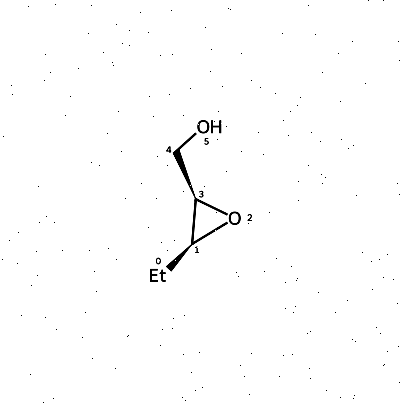 CC[C@@H]1O[C@@H]1CO